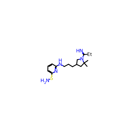 CCC(=N)N1CC(CCCNc2cccc(SN)n2)CC1(C)C